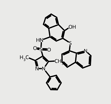 Cc1nn(-c2ccccc2)c(C)c1S(=O)(=O)Nc1cc(Sc2cccc3cccnc23)c(O)c2ccccc12